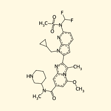 COc1cc(C(=O)N(C)C2CCCNC2)cc2nc(-c3cc4ccc(N(C(F)F)S(C)(=O)=O)nc4n3CC3CC3)c(C)n12